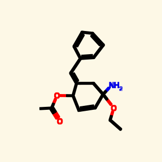 CCOC1(N)C=CC(OC(C)=O)C(=Cc2ccccc2)C1